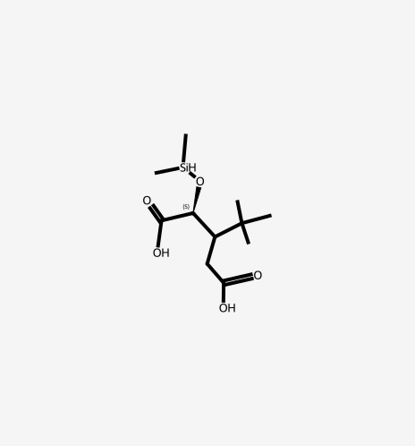 C[SiH](C)O[C@H](C(=O)O)C(CC(=O)O)C(C)(C)C